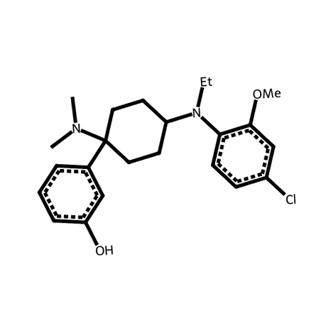 CCN(c1ccc(Cl)cc1OC)C1CCC(c2cccc(O)c2)(N(C)C)CC1